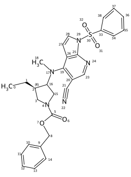 CC[C@@H]1CN(C(=O)OCc2ccccc2)CC1N(C)c1c(C#N)cnc2c1ccn2S(=O)(=O)c1ccccc1